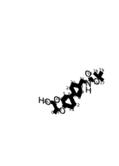 CC(Oc1ccc(-c2ccc(CNC(=O)OC(C)(C)C)cc2)cc1)C(=O)O